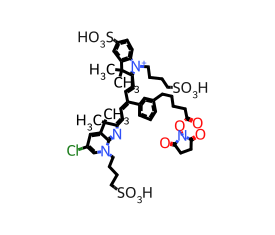 CC1(C)C2=CC(Cl)=CN(CCCCS(=O)(=O)O)C2=N/C1=C/C=C(/C=C/C1=[N+](CCCCS(=O)(=O)O)c2ccc(S(=O)(=O)O)cc2C1(C)C)c1cccc(CCCCC(=O)ON2C(=O)CCC2=O)c1